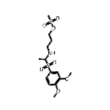 COc1ccc(S(=O)(=O)C(C)NCCCOS(C)(=O)=O)cc1OC